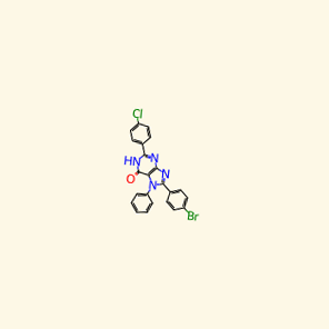 O=c1[nH]c(-c2ccc(Cl)cc2)nc2nc(-c3ccc(Br)cc3)n(-c3ccccc3)c12